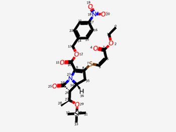 CCOC(=O)/C=C\SC1=C(C(=O)OCc2ccc([N+](=O)[O-])cc2)N2C(=O)[C@@H]([C@H](C)O[Si](C)(C)C)[C@H]2C1